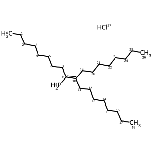 CCCCCCCCC(P)=C(CCCCCCCC)CCCCCCCC.Cl